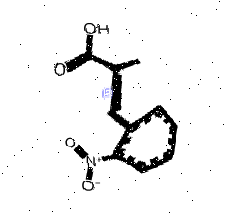 C/C(=C\c1ccccc1[N+](=O)[O-])C(=O)O